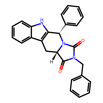 O=C1[C@@H]2Cc3c([nH]c4ccccc34)[C@H](c3ccccc3)N2C(=O)N1Cc1ccccc1